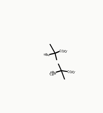 CCCCC(C)(C)C(=O)[O-].CCCCC(C)(C)C(=O)[O-].[Ca+2]